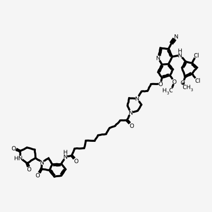 COc1cc(Nc2c(C#N)cnc3cc(OCCCN4CCN(C(=O)CCCCCCCCCC(=O)Nc5cccc6c5CN(C5CCC(=O)NC5=O)C6=O)CC4)c(OC)cc23)c(Cl)cc1Cl